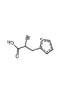 O=C(O)C(Br)Cc1cccs1